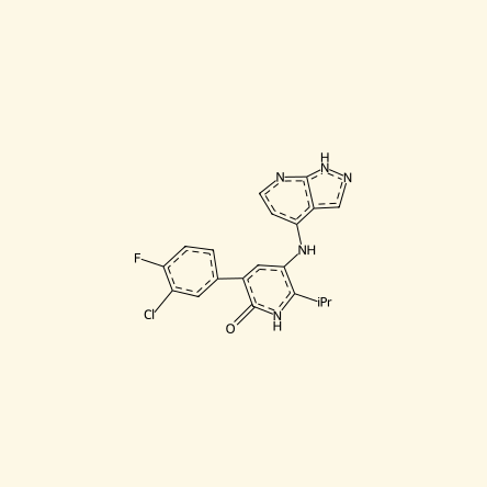 CC(C)c1[nH]c(=O)c(-c2ccc(F)c(Cl)c2)cc1Nc1ccnc2[nH]ncc12